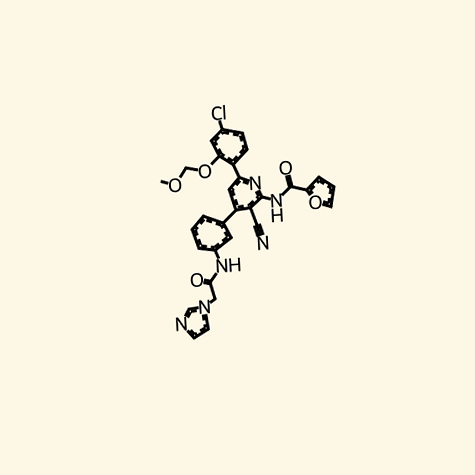 COCOc1cc(Cl)ccc1-c1cc(-c2cccc(NC(=O)Cn3ccnc3)c2)c(C#N)c(NC(=O)c2ccco2)n1